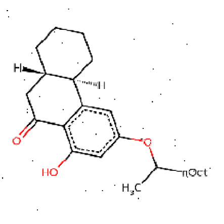 CCCCCCCCC(C)Oc1cc(O)c2c(c1)[C@@H]1CCCC[C@H]1CC2=O